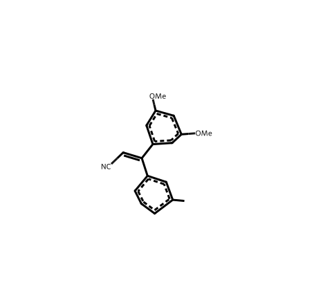 COc1cc(OC)cc(C(=CC#N)c2cccc(C)c2)c1